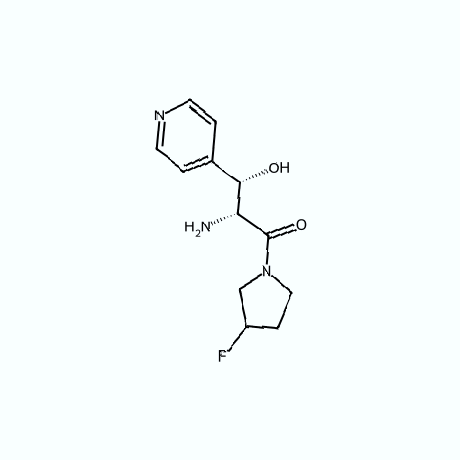 N[C@@H](C(=O)N1CCC(F)C1)[C@@H](O)c1ccncc1